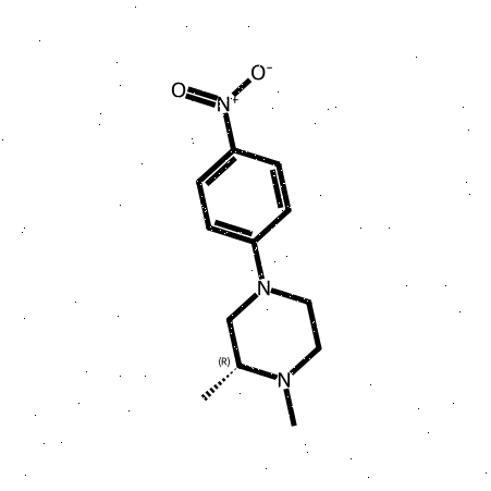 C[C@@H]1CN(c2ccc([N+](=O)[O-])cc2)CCN1C